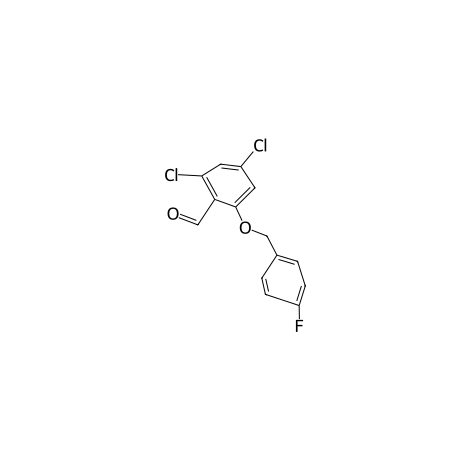 O=Cc1c(Cl)cc(Cl)cc1OCc1ccc(F)cc1